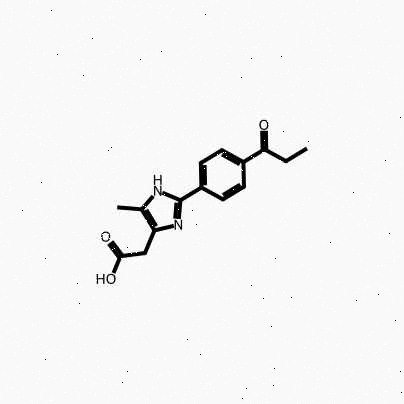 CCC(=O)c1ccc(-c2nc(CC(=O)O)c(C)[nH]2)cc1